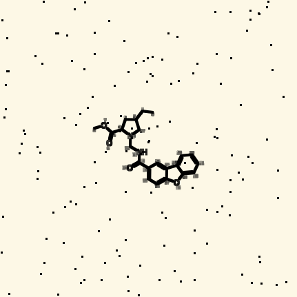 CCC1CC(C(=O)OC)N(CNC(=O)c2ccc3oc4ccccc4c3c2)C1